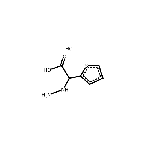 Cl.NNC(C(=O)O)c1cccs1